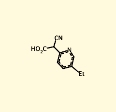 CCc1ccc(C(C#N)C(=O)O)nc1